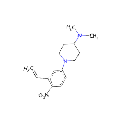 C=Cc1cc(N2CCC(N(C)C)CC2)ccc1[N+](=O)[O-]